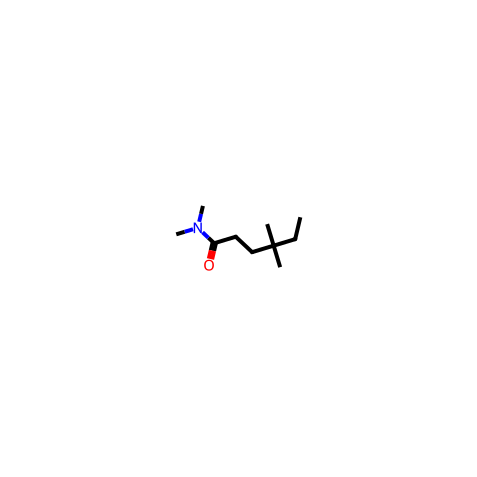 CCC(C)(C)CCC(=O)N(C)C